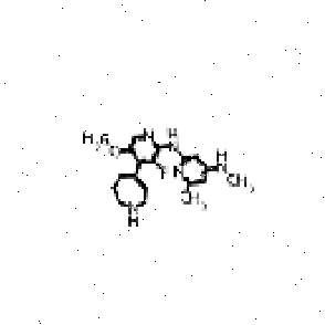 CNc1cc(C)nc(Nc2ncc(OC)c(C3=CCNCCC3)c2F)c1